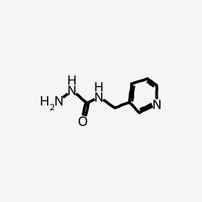 NNC(=O)NCc1cccnc1